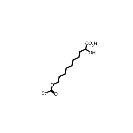 CCC(=O)OCCCCCCCCC(O)C(=O)O